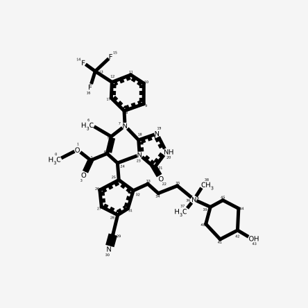 COC(=O)C1=C(C)N(c2cccc(C(F)(F)F)c2)c2n[nH]c(=O)n2C1c1ccc(C#N)cc1CCC[N+](C)(C)C1CCC(O)CC1